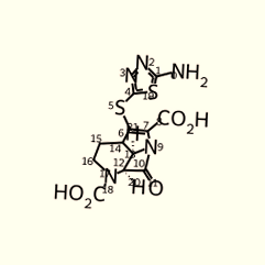 Nc1nnc(SC2=C(C(=O)O)N3C(=O)[C@@H]4[C@H]3C2CCN4C(=O)O)s1